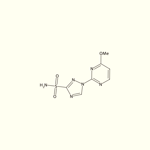 COc1ccnc(-n2cnc(S(N)(=O)=O)n2)n1